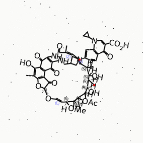 CO[C@H]1/C=C/O[C@@]2(C)Oc3c(C)c(O)c4c(c3C2=O)C(=O)C(NCC2CN(c3cc5c(cc3F)c(=O)c(C(=O)O)cn5C3CC3)C2)=C(NC(=O)/C(C)=C\C=C\[C@H](C)[C@H](O)[C@@H](C)[C@@H](O)[C@@H](C)[C@H](OC(C)=O)[C@@H]1C)C4=O